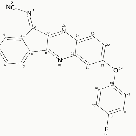 N#C/N=C1\c2ccccc2-c2nc3cc(Oc4ccc(F)cc4)ccc3nc21